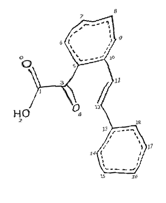 O=C(O)C(=O)c1ccccc1C=Cc1ccccc1